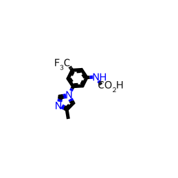 Cc1cn(-c2cc(NC(=O)O)cc(C(F)(F)F)c2)cn1